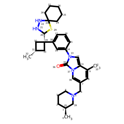 C[C@H]1CCCN(Cc2cc(C(F)(F)F)c3cn(-c4cccc([C@]5(C6NNC7(CCCCC7)S6)C[C@@H](C)C5)c4)c(=O)n3c2)C1